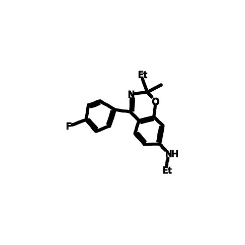 CCNc1ccc2c(c1)OC(C)(CC)N=C2c1ccc(F)cc1